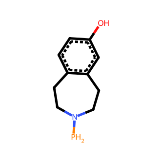 Oc1ccc2c(c1)CCN(P)CC2